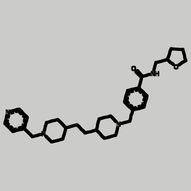 O=C(NCC1CCCO1)c1ccc(CN2CCC(CCC3CCN(Cc4ccncc4)CC3)CC2)cc1